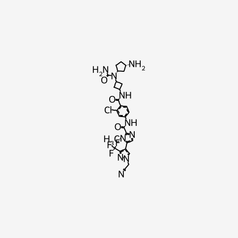 Cn1c(-c2cn(CC#N)nc2C(F)(F)F)cnc1C(=O)Nc1ccc(C(=O)NC2CC(N(C(N)=O)[C@@H]3CC[C@H](N)C3)C2)c(Cl)c1